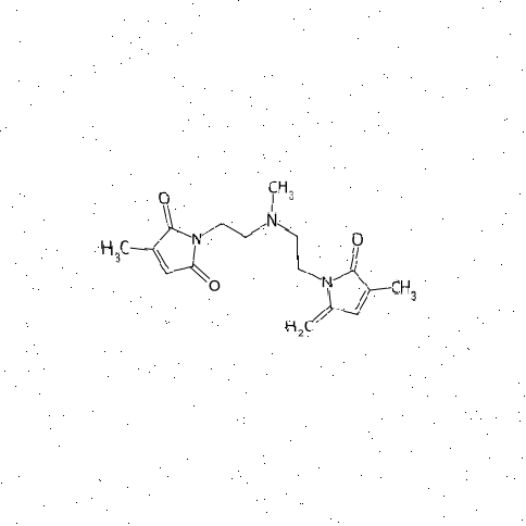 C=C1C=C(C)C(=O)N1CCN(C)CCN1C(=O)C=C(C)C1=O